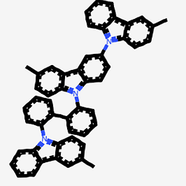 Cc1ccc2c(c1)c1ccccc1n2-c1ccc2c(c1)c1cc(C)ccc1n2-c1ccccc1-c1ccccc1-n1c2ccccc2c2cc(C)ccc21